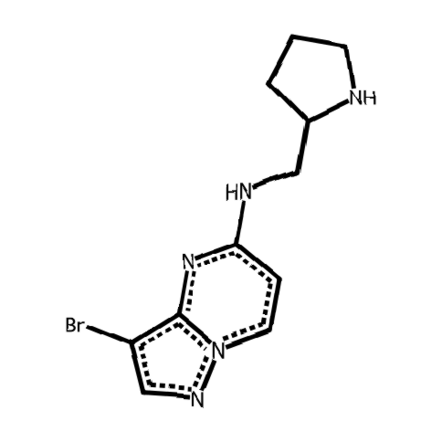 Brc1cnn2ccc(NCC3CCCN3)nc12